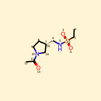 CCS(=O)(=O)NC[C@H]1CCN(C(C)=O)C1